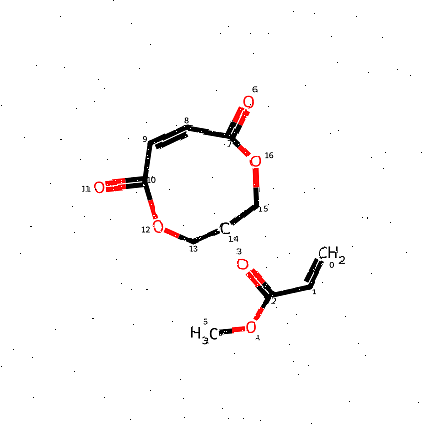 C=CC(=O)OC.O=C1C=CC(=O)OCCCO1